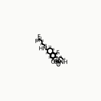 O=S1(=O)NCCN1c1c(O)cc2c(c1F)CCC(NCCCC(F)F)C2